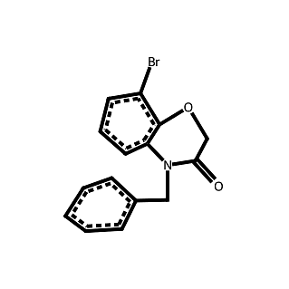 O=C1COc2c(Br)cccc2N1Cc1ccccc1